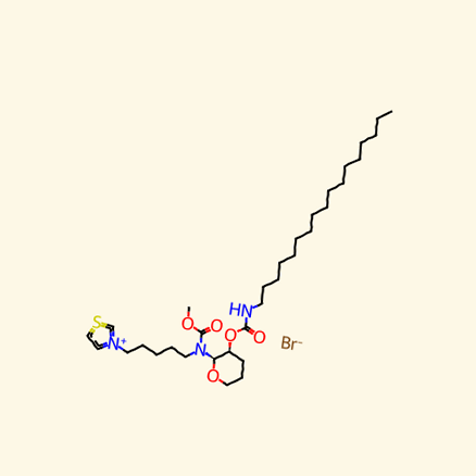 CCCCCCCCCCCCCCCCCNC(=O)O[C@H]1CCCO[C@H]1N(CCCCC[n+]1ccsc1)C(=O)OC.[Br-]